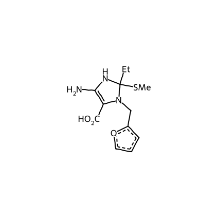 CCC1(SC)NC(N)=C(C(=O)O)N1Cc1ccco1